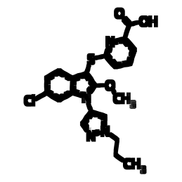 CCCn1cc(-n2c(OC)c(Sc3cccc(C(=O)O)n3)c3ccc(Cl)cc32)cn1